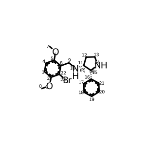 COc1ccc(OC)c(CN[C@@H]2CCN[C@@H]2c2ccccc2)c1Br